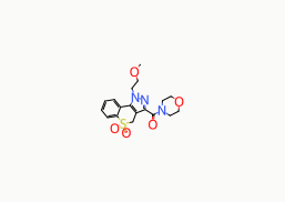 COCCn1nc(C(=O)N2CCOCC2)c2c1-c1ccccc1S(=O)(=O)C2